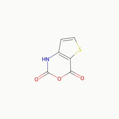 O=c1[nH]c2ccsc2c(=O)o1